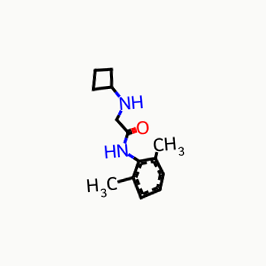 Cc1cccc(C)c1NC(=O)CNC1CCC1